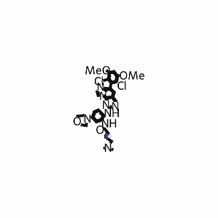 COc1cc(OC)c(Cl)c(-c2cc3cnc(Nc4ccc(N5CCOCC5)cc4NC(=O)/C=C/CN(C)C)nc3n3ccnc23)c1Cl